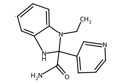 CCN1c2cc[c]cc2NC1(C(N)=O)c1cccnc1